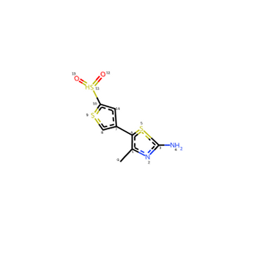 Cc1nc(N)sc1-c1csc([SH](=O)=O)c1